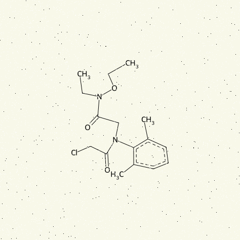 CCON(CC)C(=O)CN(C(=O)CCl)c1c(C)cccc1C